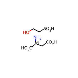 N[C@@H](CC(=O)O)C(=O)O.O=S(=O)(O)CCO